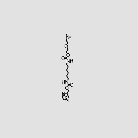 CN(C)CCOCCOC(=O)NCCCCCCNC(=O)OCC1CN2CCN1CC2